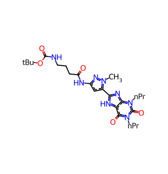 CCCn1c(=O)c2[nH]c(-c3cc(NC(=O)CCCNC(=O)OC(C)(C)C)nn3C)nc2n(CCC)c1=O